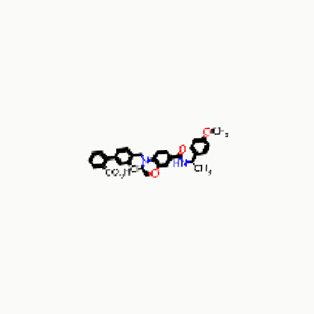 CC1C=C(c2ccccc2C(=O)O)C=CC1CN1CCOc2cc(C(=O)N[C@@H](C)c3ccc(OC(F)(F)F)cc3)ccc21